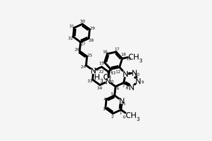 Cc1cccc(C(c2nnnn2-c2c(C)cccc2C)N2CCN(CC=Cc3ccccc3)CC2)n1